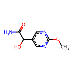 COc1ncc(C(O)C(N)=O)cn1